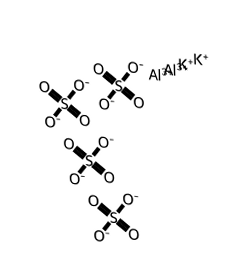 O=S(=O)([O-])[O-].O=S(=O)([O-])[O-].O=S(=O)([O-])[O-].O=S(=O)([O-])[O-].[Al+3].[Al+3].[K+].[K+]